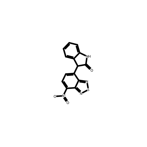 O=C1Nc2ccccc2C1c1ccc([N+](=O)[O-])c2nsnc12